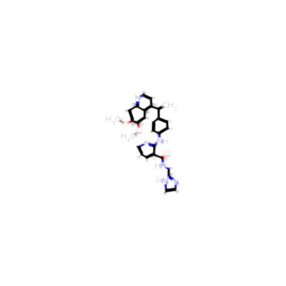 C=C(c1ccc(Nc2ncccc2C(=O)NCc2ncc[nH]2)cc1)c1ccnc2cc(OC)c(OC)cc12